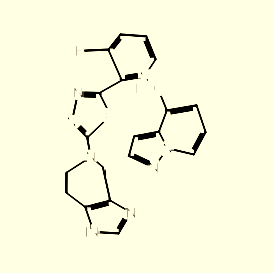 Cc1cccn2nc([C@@H]3c4nc[nH]c4CCN3c3nnc(-c4ncccc4F)o3)cc12